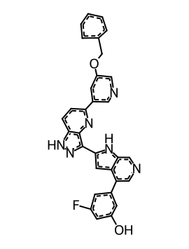 Oc1cc(F)cc(-c2cncc3[nH]c(-c4n[nH]c5ccc(-c6cncc(OCc7ccccc7)c6)nc45)cc23)c1